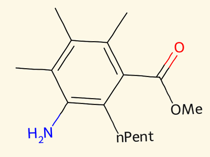 CCCCCc1c(N)c(C)c(C)c(C)c1C(=O)OC